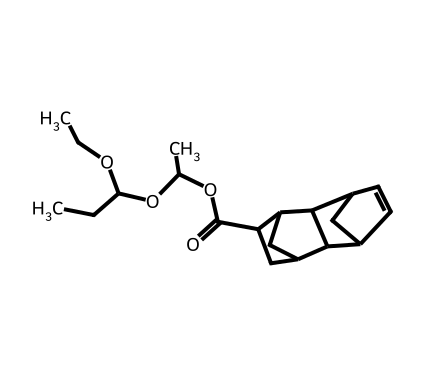 CCOC(CC)OC(C)OC(=O)C1CC2CC1C1C3C=CC(C3)C21